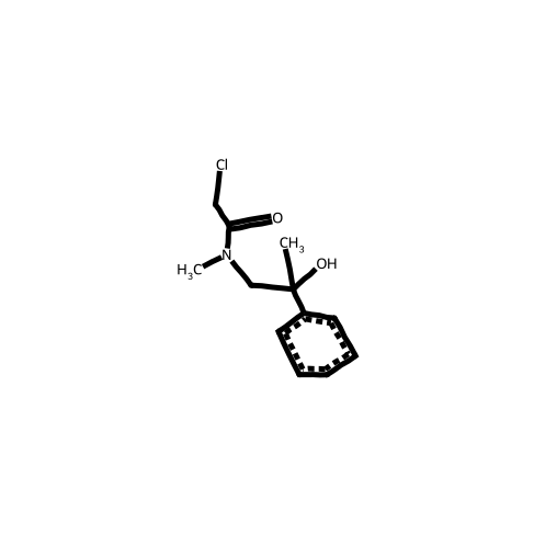 CN(CC(C)(O)c1ccccc1)C(=O)CCl